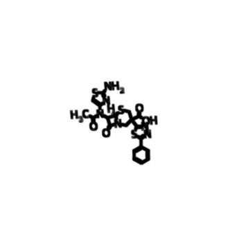 CC(=O)N(c1csc(N)n1)C1C(=O)N2CC(C(=O)O)(c3nnc(-c4ccccc4)s3)CS[C@H]12